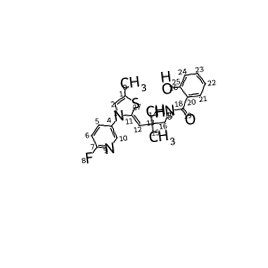 CC1=CN(c2ccc(F)nc2)C(=CC(C)(C)CNC(=O)c2ccccc2O)S1